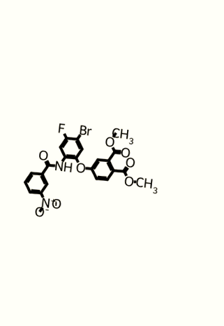 COC(=O)c1ccc(Oc2cc(Br)c(F)cc2NC(=O)c2cccc([N+](=O)[O-])c2)cc1C(=O)OC